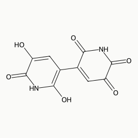 O=C1C=C(c2cc(O)c(=O)[nH]c2O)C(=O)NC1=O